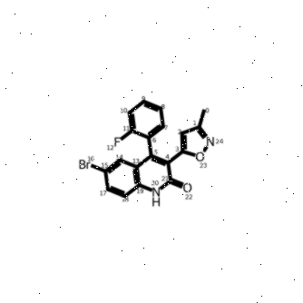 Cc1cc(-c2c(-c3ccccc3F)c3cc(Br)ccc3[nH]c2=O)on1